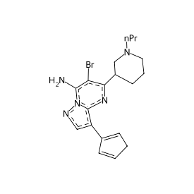 CCCN1CCCC(c2nc3c(C4=CCC=C4)cnn3c(N)c2Br)C1